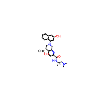 C[C@H](CN(C)C)NC(=O)c1ccc2c(n1)CN(c1cc(O)cc3ccccc13)CC2.O=CO